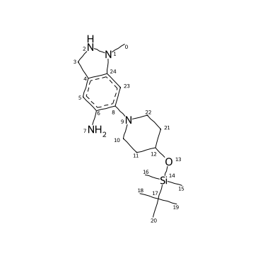 CN1NCc2cc(N)c(N3CCC(O[Si](C)(C)C(C)(C)C)CC3)cc21